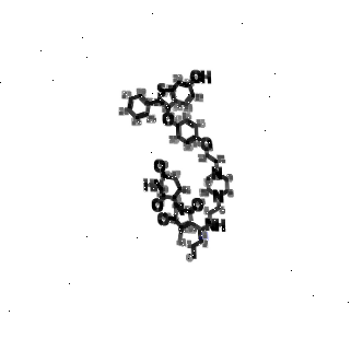 C=C/C=C(/NCCN1CCN(CCOc2ccc(Oc3c(-c4ccccc4)sc4cc(O)ccc34)cc2)CC1)C1=C(C)C(=O)N(C2CCC(=O)NC2=O)C1=O